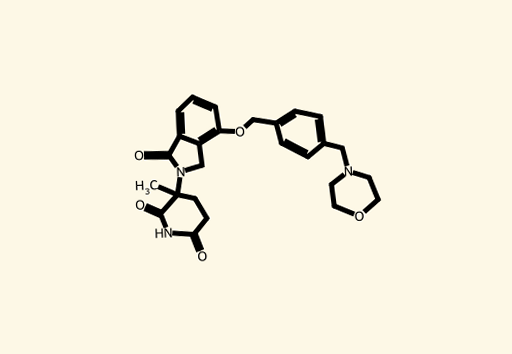 CC1(N2Cc3c(OCc4ccc(CN5CCOCC5)cc4)cccc3C2=O)CCC(=O)NC1=O